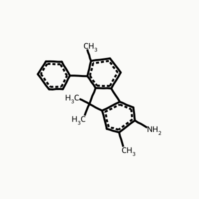 Cc1cc2c(cc1N)-c1ccc(C)c(-c3ccccc3)c1C2(C)C